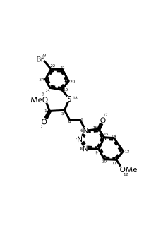 COC(=O)C(CCn1nnc2cc(OC)ccc2c1=O)Sc1ccc(Br)cc1